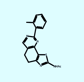 CC(=O)Nc1nc2c(s1)-c1nc(-c3ccccc3C)ncc1CC2